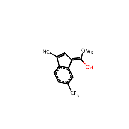 COC(O)=C1C=C(C#N)c2ccc(C(F)(F)F)cc21